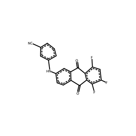 N#Cc1cccc(Nc2ccc3c(c2)C(=O)c2c(F)cc(F)c(F)c2C3=O)c1